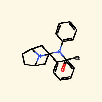 CCC(=O)N(c1ccccc1)C1CC2CCC(C1)N2Cc1ccccc1